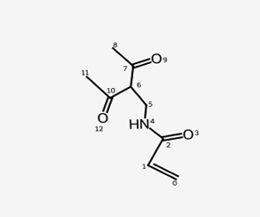 C=CC(=O)NCC(C(C)=O)C(C)=O